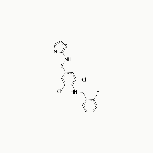 Fc1ccccc1CNc1c(Cl)cc(SNc2nccs2)cc1Cl